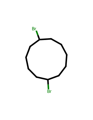 BrC1CCCCCC(Br)CCCC1